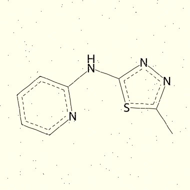 Cc1nnc(Nc2ccccn2)s1